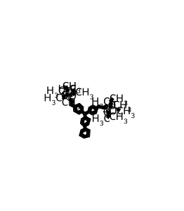 CC(C)O[Si](CCCc1ccc(C(c2ccc(CCC[Si](OC(C)C)(OC(C)C)OC(C)C)cc2)c2ccc(-c3ccccc3)cc2)cc1)(OC(C)C)OC(C)C